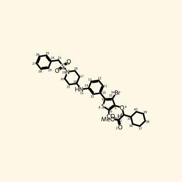 COC(=O)C(Oc1c(C(=O)O)sc(-c2cccc(NC3CCN(S(=O)(=O)Cc4ccccc4)CC3)c2)c1Br)C1CCCCC1